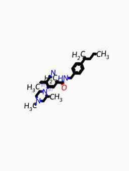 C=C(/C=C(\C(C#N)=C/C)N1CCN(C)CC1C)C(=O)NCc1ccc(C(=C)CCC)cc1